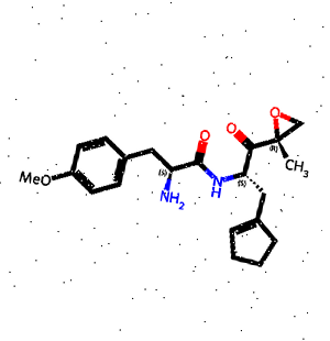 COc1ccc(C[C@H](N)C(=O)N[C@@H](CC2=CCCC2)C(=O)[C@@]2(C)CO2)cc1